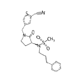 CS(=O)(=O)N(CCCc1ccccc1)[C@H]1CCN(Cc2csc(C#N)c2)C1=O